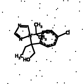 CCC(CO)(c1ccc(Cl)cc1)[N+]1(C(C)(C)C)C=NC=N1